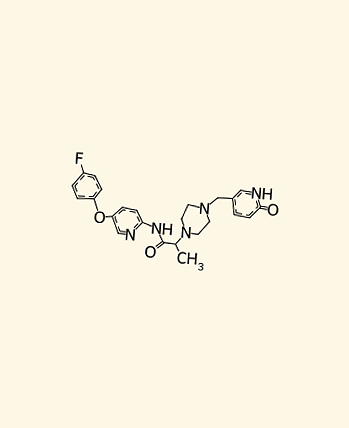 CC(C(=O)Nc1ccc(Oc2ccc(F)cc2)cn1)N1CCN(Cc2ccc(=O)[nH]c2)CC1